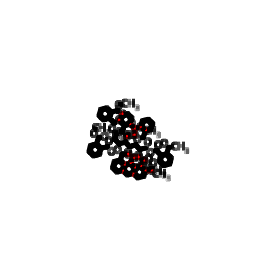 COC(=O)c1ccccc1C(=O)OCC(OC(=O)c1ccccc1C(=O)OC)C(OC(=O)c1ccccc1C(=O)OC)C(OC(=O)c1ccccc1C(=O)OC)C(OC(=O)c1ccccc1C(=O)OC)C(OC(=O)c1ccccc1C(=O)OC)C(COC(=O)c1ccccc1C(C)=O)OC(=O)c1ccccc1C(C)=O